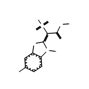 CCCOC(=O)/C(=C1/Oc2cc(C(C)CC)ccc2N1CC)S(C)(=O)=O